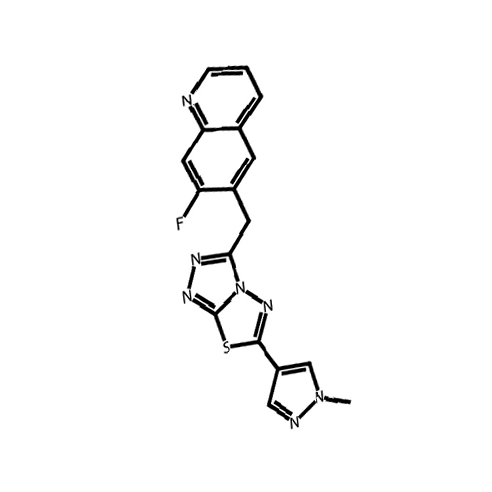 Cn1cc(-c2nn3c(Cc4cc5cccnc5cc4F)nnc3s2)cn1